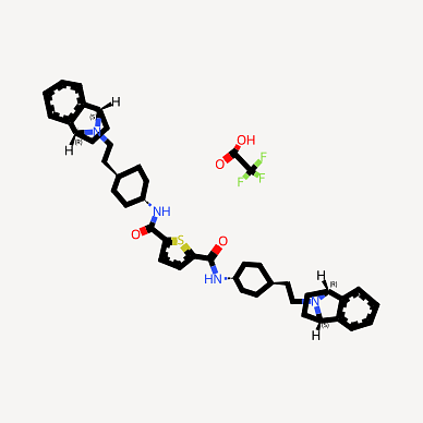 O=C(N[C@H]1CC[C@H](CCN2[C@@H]3CC[C@H]2c2ccccc23)CC1)c1ccc(C(=O)N[C@H]2CC[C@H](CCN3[C@@H]4CC[C@H]3c3ccccc34)CC2)s1.O=C(O)C(F)(F)F